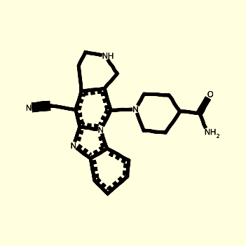 N#Cc1c2c(c(N3CCC(C(N)=O)CC3)n3c1nc1ccccc13)CNCC2